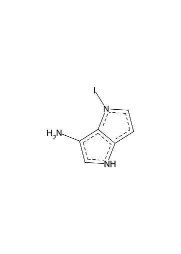 Nc1c[nH]c2ccn(I)c12